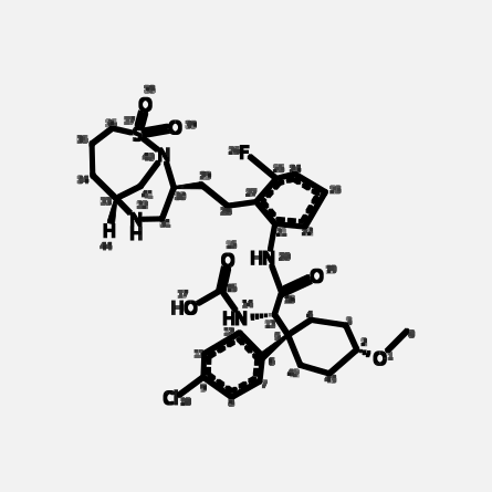 CO[C@H]1CC[C@@](c2ccc(Cl)cc2)([C@H](NC(=O)O)C(=O)Nc2cccc(F)c2CC[C@H]2CN[C@@H]3CCCS(=O)(=O)N2C3)CC1